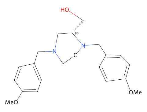 COc1ccc(CN2CCN(Cc3ccc(OC)cc3)[C@@H](CO)C2)cc1